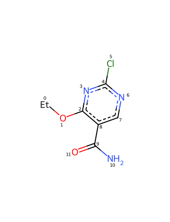 CCOc1nc(Cl)ncc1C(N)=O